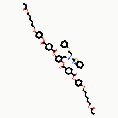 C=CC(=O)OCCCCCCOc1ccc(OC(=O)C2CCC(C(=O)Oc3ccc(OC(=O)C4CCC(C(=O)Oc5ccc(OCCCCCCOC(=O)C=C)cc5)CC4)c(/C=N/N(CCSc4ccccc4)c4nc5ccccc5s4)c3)CC2)cc1